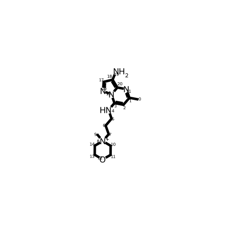 Cc1cc(NCCC[N+]2(C)CCOCC2)n2ncc(N)c2n1